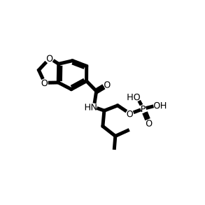 CC(C)CC(COP(=O)(O)O)NC(=O)c1ccc2c(c1)OCO2